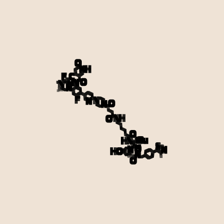 Cc1ncsc1-c1ccc(CNC(=O)[C@@H]2C[C@@H](O)CN2C(=O)[C@@H](NC(=O)CCCCCNC(=O)CCC(=O)N2CCN(c3ccc(-c4cc(NC(=O)c5c[nH]c(=O)cc5C(F)(F)F)c(N5C[C@@H](C)N(C)[C@@H](C)C5)cc4F)cn3)CC2)C(C)(C)C)cc1